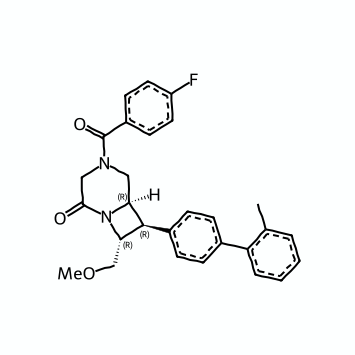 COC[C@H]1[C@H](c2ccc(-c3ccccc3C)cc2)[C@@H]2CN(C(=O)c3ccc(F)cc3)CC(=O)N12